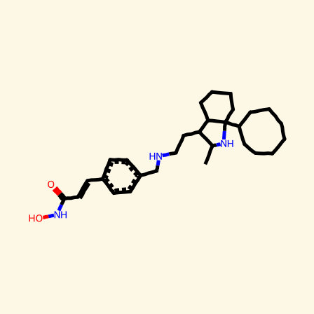 CC1NC2(C3CCCCCCC3)CCCCC2C1CCNCc1ccc(/C=C/C(=O)NO)cc1